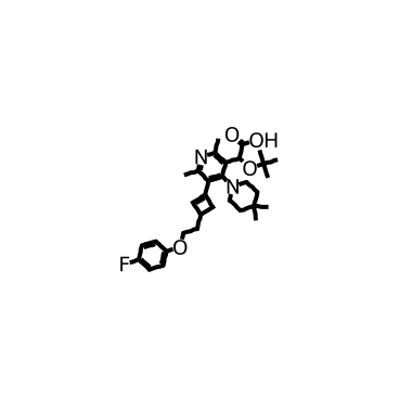 Cc1nc(C)c(C(OC(C)(C)C)C(=O)O)c(N2CCC(C)(C)CC2)c1C1=CC(CCOc2ccc(F)cc2)C1